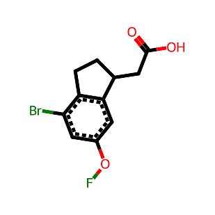 O=C(O)CC1CCc2c(Br)cc(OF)cc21